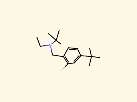 CCN(Cc1ccc(C(C)(C)C)cc1F)C(C)(C)C